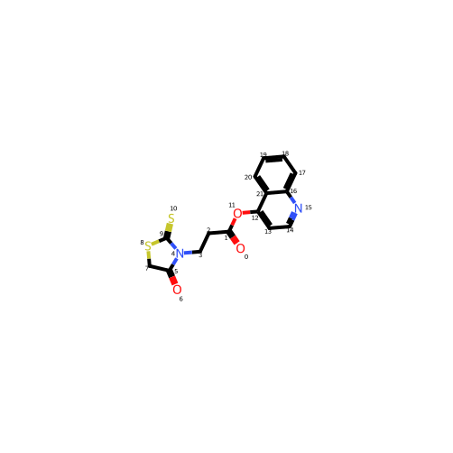 O=C(CCN1C(=O)CSC1=S)Oc1ccnc2ccccc12